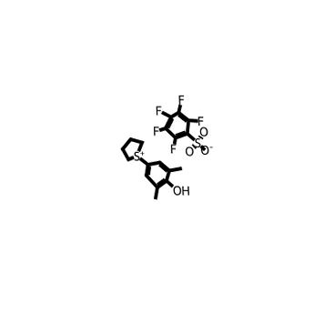 Cc1cc([S+]2CCCC2)cc(C)c1O.O=S(=O)([O-])c1c(F)c(F)c(F)c(F)c1F